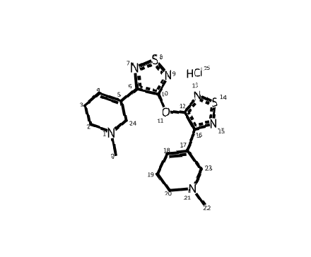 CN1CCC=C(c2nsnc2Oc2nsnc2C2=CCCN(C)C2)C1.Cl